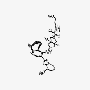 O=S(=O)(NCCO)N1C[C@H]2CC(Nc3c(-c4nc5c(s4)C(O)CCC5)cnc4[nH]ccc34)C[C@H]2C1